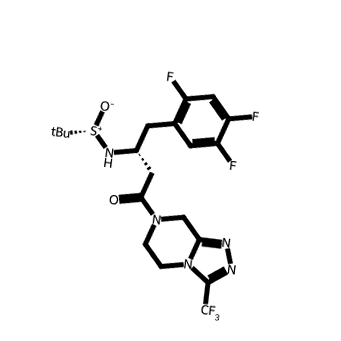 CC(C)(C)[S@+]([O-])N[C@@H](CC(=O)N1CCn2c(nnc2C(F)(F)F)C1)Cc1cc(F)c(F)cc1F